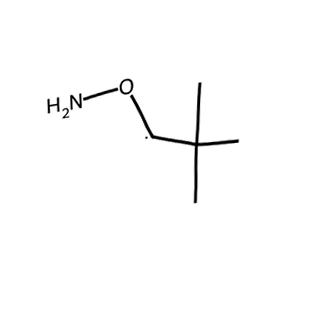 CC(C)(C)[CH]ON